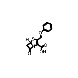 O=C(O)C1=C(COc2ccccc2)S[C@@H]2CC(=O)N12